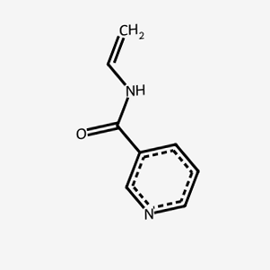 C=CNC(=O)c1cccnc1